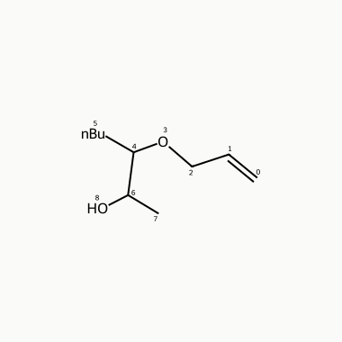 C=CCOC(CCCC)C(C)O